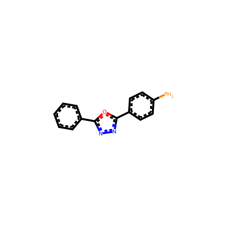 Pc1ccc(-c2nnc(-c3ccccc3)o2)cc1